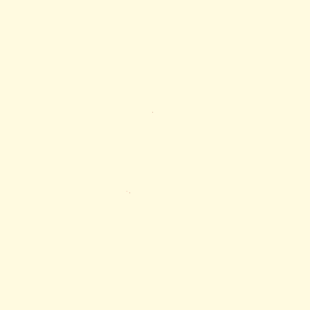 O=C=NCCCCCNC(=O)Cl